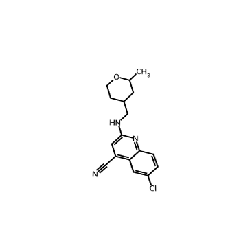 CC1CC(CNc2cc(C#N)c3cc(Cl)ccc3n2)CCO1